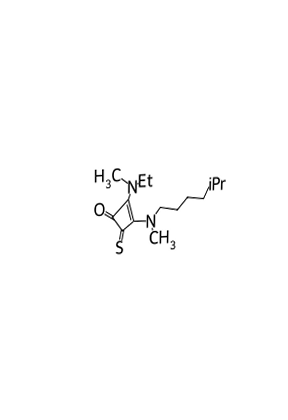 CCN(C)c1c(N(C)CCCCC(C)C)c(=S)c1=O